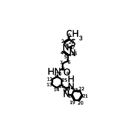 Cc1cn2cc(CCC(=O)NC3CCCC(c4nc5ccccc5[nH]4)C3)nc2s1